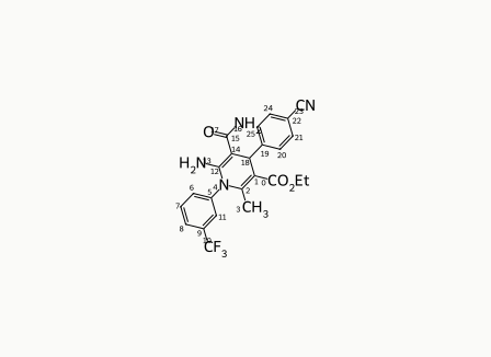 CCOC(=O)C1=C(C)N(c2cccc(C(F)(F)F)c2)C(N)=C(C(N)=O)C1c1ccc(C#N)cc1